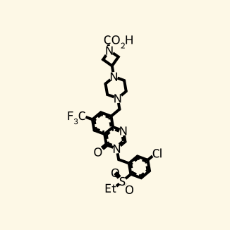 CCS(=O)(=O)c1ccc(Cl)cc1Cn1cnc2c(CN3CCN(C4CN(C(=O)O)C4)CC3)cc(C(F)(F)F)cc2c1=O